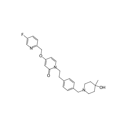 CC1(O)CCN(Cc2ccc(CCn3ccc(OCc4ccc(F)cn4)cc3=O)cc2)CC1